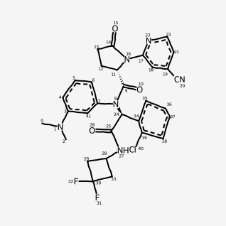 CN(C)c1cccc(N(C(=O)[C@@H]2CCC(=O)N2c2cc(C#N)ccn2)[C@H](C(=O)NC2CC(F)(F)C2)c2ccccc2Cl)c1